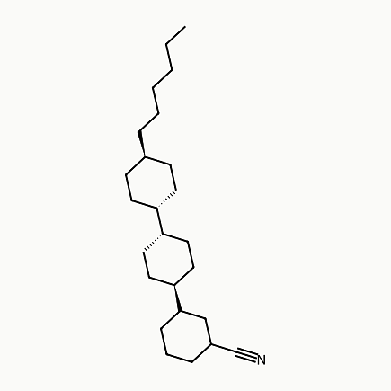 CCCCCC[C@H]1CC[C@H]([C@H]2CC[C@H](C3CCCC(C#N)C3)CC2)CC1